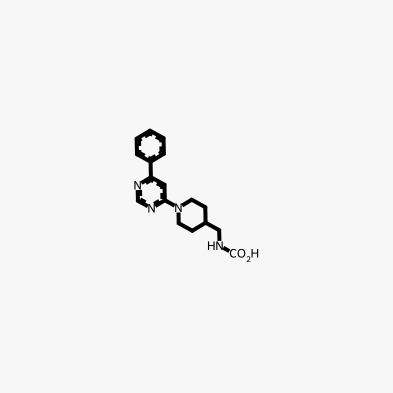 O=C(O)NCC1CCN(c2cc(-c3ccccc3)ncn2)CC1